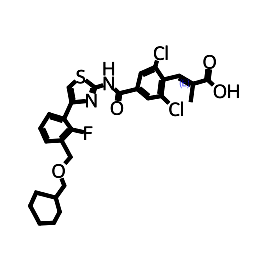 C/C(=C\c1c(Cl)cc(C(=O)Nc2nc(-c3cccc(COCC4CCCCC4)c3F)cs2)cc1Cl)C(=O)O